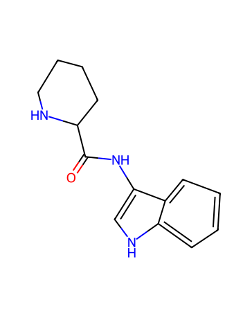 O=C(Nc1c[nH]c2ccccc12)C1CCCCN1